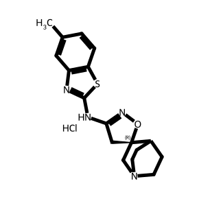 Cc1ccc2sc(NC3=NO[C@@]4(C3)CN3CCC4CC3)nc2c1.Cl